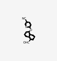 N#Cc1ccc(Oc2cccc3c(C=O)cccc23)nc1